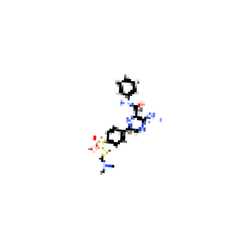 CN(C)CSS(=O)(=O)c1ccc(-c2cnc(N)c(C(=O)Nc3ccccc3)n2)cc1